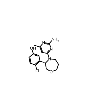 Cc1cc(N2CCCOC[C@H]2c2cc(O)ccc2Cl)nc(N)n1